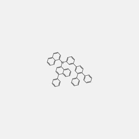 c1ccc(-c2ccc(-c3cccc(N(c4cccc5ccccc45)c4ccc(-c5ccccc5)c5ccccc45)c3)cc2-c2ccccc2)cc1